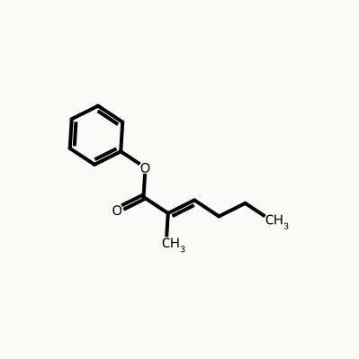 CCCC=C(C)C(=O)Oc1ccccc1